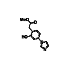 COC(=O)Cc1ccc(-n2ccnc2)cc1O